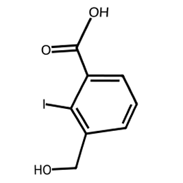 O=C(O)c1cccc(CO)c1I